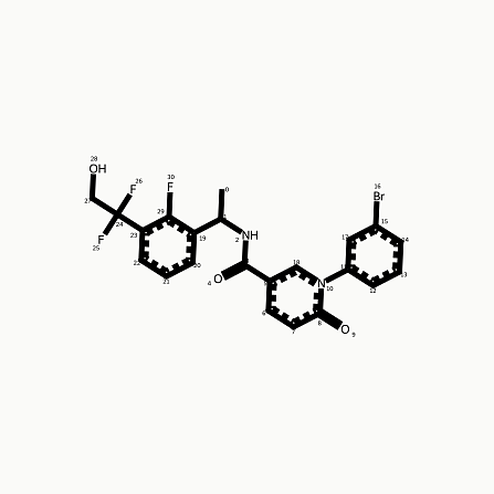 CC(NC(=O)c1ccc(=O)n(-c2cccc(Br)c2)c1)c1cccc(C(F)(F)CO)c1F